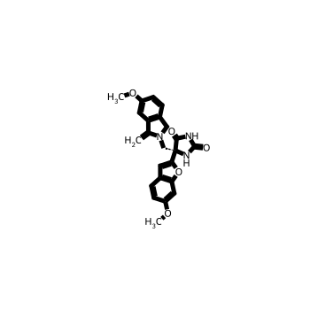 C=C1c2cc(OC)ccc2CN1C[C@@]1(c2cc3ccc(OC)cc3o2)NC(=O)NC1=O